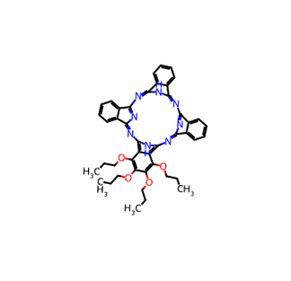 CCCOc1c(OCCC)c(OCCC)c2c3nc4nc(nc5[nH]c(nc6nc(nc([nH]3)c2c1OCCC)-c1ccccc1-6)c1ccccc51)-c1ccccc1-4